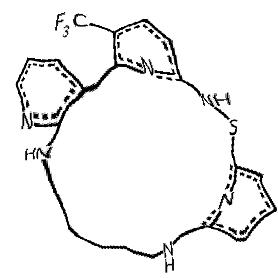 FC(F)(F)c1ccc2nc1-c1cccnc1NCCCCNc1cccc(n1)SN2